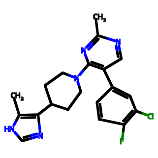 Cc1ncc(-c2ccc(F)c(Cl)c2)c(N2CCC(c3nc[nH]c3C)CC2)n1